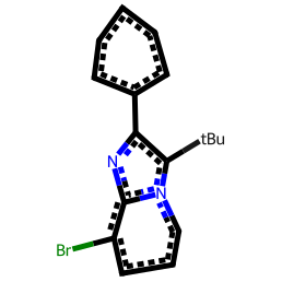 CC(C)(C)c1c(-c2ccccc2)nc2c(Br)cccn12